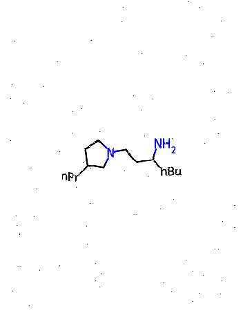 CCCCC(N)CCN1CCC(CCC)C1